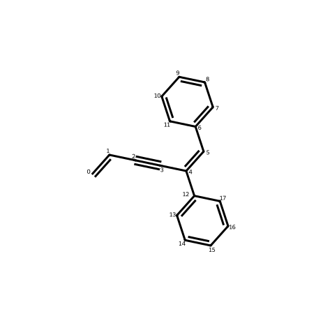 C=CC#CC(=Cc1ccccc1)c1ccccc1